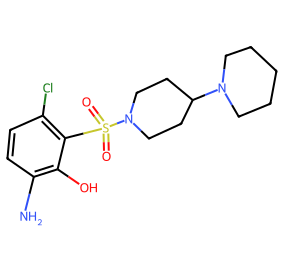 Nc1ccc(Cl)c(S(=O)(=O)N2CCC(N3CCCCC3)CC2)c1O